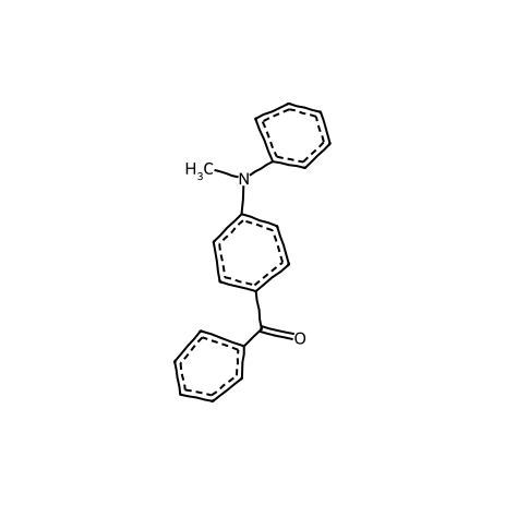 CN(c1ccccc1)c1ccc(C(=O)c2ccccc2)cc1